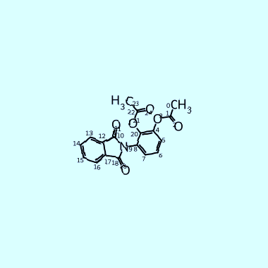 CC(=O)Oc1cccc(N2C(=O)c3ccccc3C2=O)c1OC(C)=O